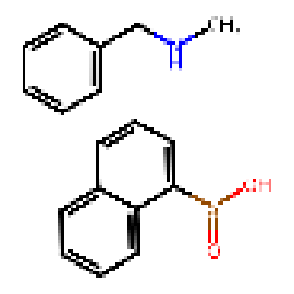 CNCc1ccccc1.O=S(O)c1cccc2ccccc12